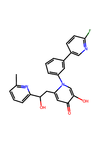 Cc1cccc(C(O)Cc2cc(=O)c(O)cn2-c2cccc(-c3ccc(F)nc3)c2)n1